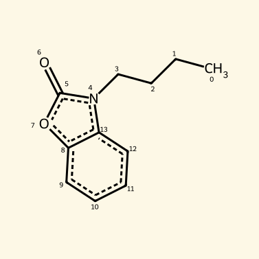 CCCCn1c(=O)oc2ccccc21